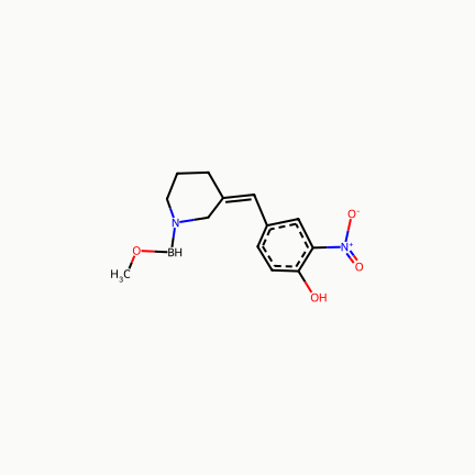 COBN1CCCC(=Cc2ccc(O)c([N+](=O)[O-])c2)C1